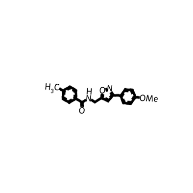 COc1ccc(-c2cc(CNC(=O)c3ccc(C)cc3)on2)cc1